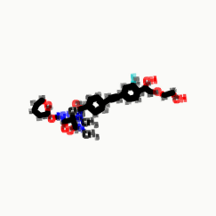 CNC(=O)C(C)(C(=O)NOC1CCCCO1)N(C)C(=O)c1ccc(C#Cc2ccc(C(O)COCCO)c(F)c2)cc1